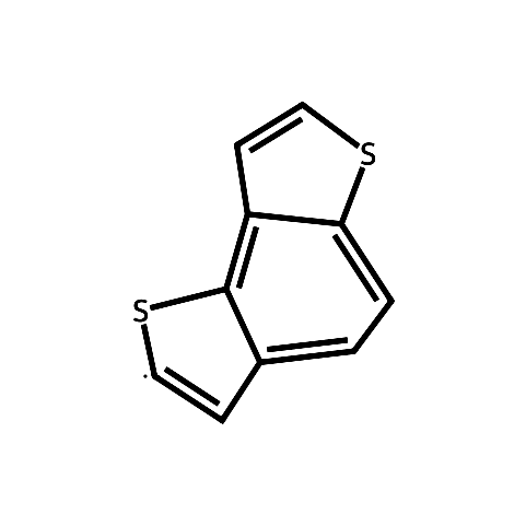 [c]1cc2ccc3sccc3c2s1